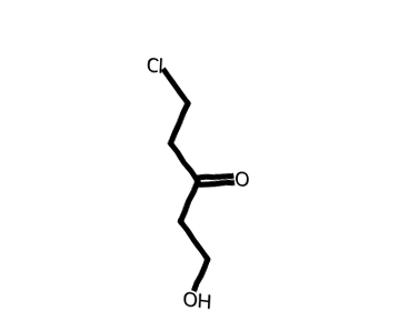 O=C(CCO)CCCl